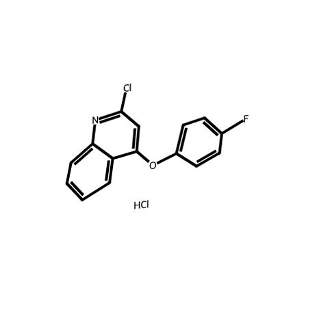 Cl.Fc1ccc(Oc2cc(Cl)nc3ccccc23)cc1